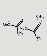 COC(N)=S.COC(N)=S.[CaH2]